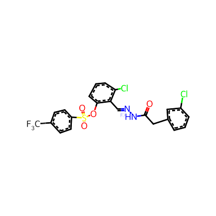 O=C(Cc1cccc(Cl)c1)N/N=C/c1c(Cl)cccc1OS(=O)(=O)c1ccc(C(F)(F)F)cc1